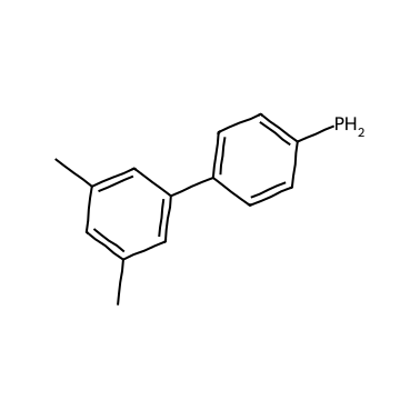 Cc1cc(C)cc(-c2ccc(P)cc2)c1